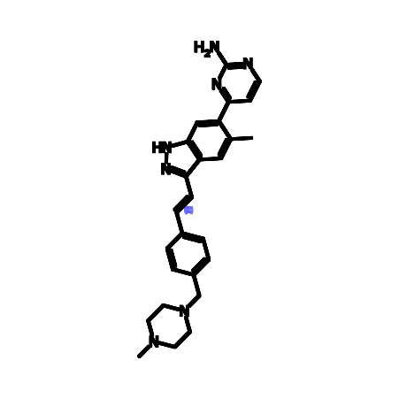 Cc1cc2c(/C=C/c3ccc(CN4CCN(C)CC4)cc3)n[nH]c2cc1-c1ccnc(N)n1